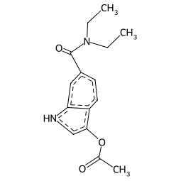 CCN(CC)C(=O)c1ccc2c(OC(C)=O)c[nH]c2c1